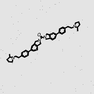 CC1CCCN1CCc1ccc(-c2ccc3c(c2)CN(C(=O)N2Cc4ccc(-c5ccc(CCN6CCCC6C)cc5)cc4C2)C3)cc1